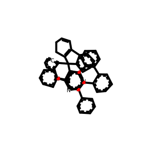 C1=CC2=C(CC1)C1(c3ccccc3Oc3ccc(-c4ccccc4-c4ccccc4-c4cc(-c5ccccc5)nc(-c5ccccc5)n4)cc31)c1ccccc12